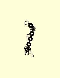 CC1COC(C2CCC(c3ccc(C4CCC(C(F)(F)Oc5ccc(Cl)cc5)CC4)c(F)c3)CC2)OC1